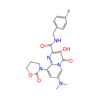 CN(C)c1cc(N2CCCOC2=O)c2nc(C(=O)NCc3ccc(F)cc3)c(O)c(=O)n2c1